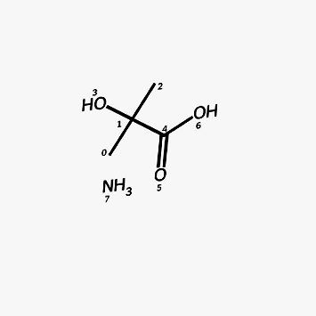 CC(C)(O)C(=O)O.N